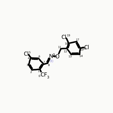 FC(F)(F)c1ccc(Cl)cc1/C=N/OCc1ccc(Cl)cc1Cl